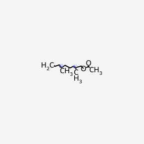 C=C/C=C(\C)CC/C=C(\C)COC(C)=O